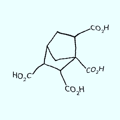 O=C(O)C1C2CC(C(=O)O)C(C(=O)O)(C2)C1C(=O)O